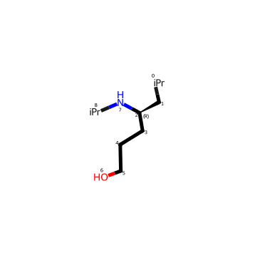 CC(C)C[C@@H](CCCO)NC(C)C